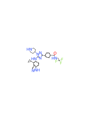 O=C(NCC(F)(F)F)c1ccc(-c2nc(Nc3ccc4[nH]ncc4c3C3CC3)n(C3CCNCC3)n2)cc1